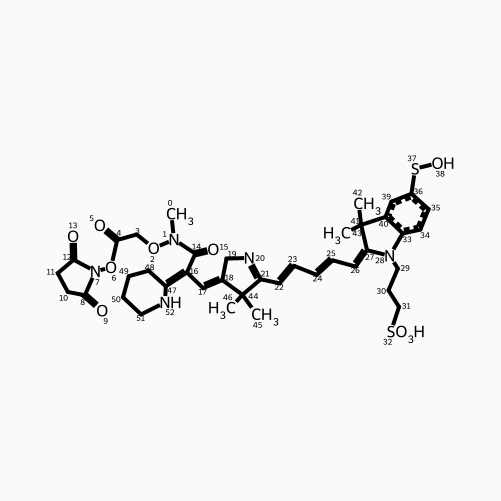 CN(OCC(=O)ON1C(=O)CCC1=O)C(=O)C(/C=C1\CN=C(/C=C/C=C/C=C2/N(CCCS(=O)(=O)O)c3ccc(SO)cc3C2(C)C)C1(C)C)=C1\CCCCN1